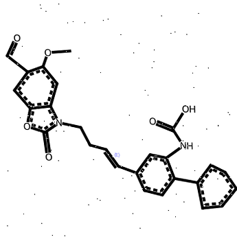 COc1cc2c(cc1C=O)oc(=O)n2CC/C=C/c1ccc(-c2ccccc2)c(NC(=O)O)c1